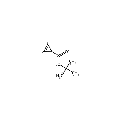 CC(C)(C)OC(=O)C1C=C1